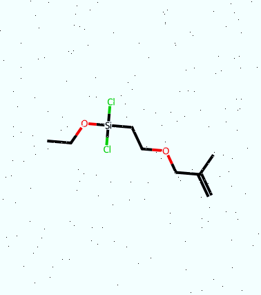 C=C(C)COCC[Si](Cl)(Cl)OCC